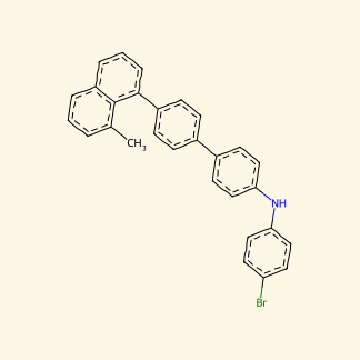 Cc1cccc2cccc(-c3ccc(-c4ccc(Nc5ccc(Br)cc5)cc4)cc3)c12